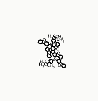 CC(C)(C)c1ccc(N(c2ccc3c(c2)oc2ccccc23)c2cc3c(c4oc5ccccc5c24)-c2c(cc(N(c4ccc(C(C)(C)C)cc4)c4ccc5c(c4)oc4ccccc45)c4c2oc2ccccc24)C32c3ccccc3-c3ccccc32)cc1